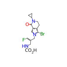 O=C(O)NCC(=CF)Cn1cc2c(c1Br)CCN(C1CC1)C2=O